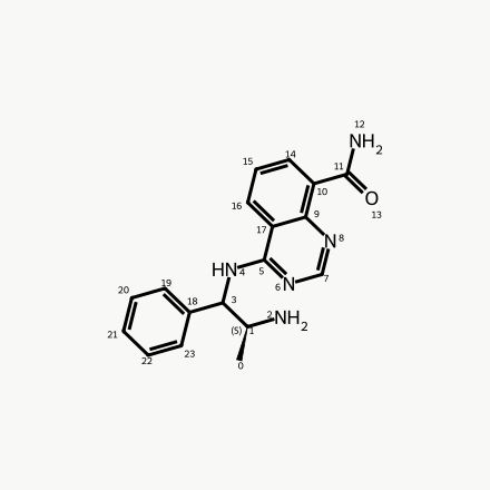 C[C@H](N)C(Nc1ncnc2c(C(N)=O)cccc12)c1ccccc1